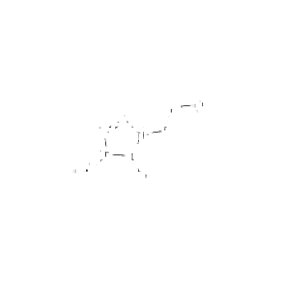 CCCCCCCCCCCCN1C=CN(CCCCCCCCCC)C1C(C)C